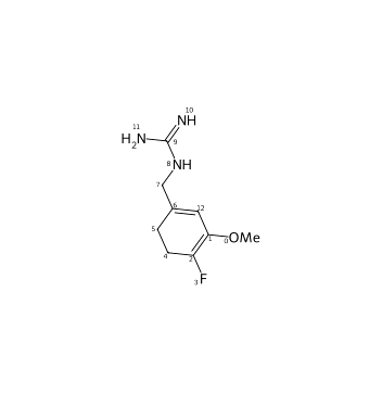 COC1=C(F)CCC(CNC(=N)N)=C1